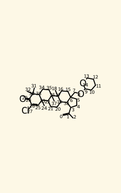 C=C(C)C1CCC2(COC3CCCCO3)CCC3(C)C(CCC4C5(C)C=C(Cl)C(=O)C(C)(C)C5CCC43C)C12